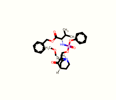 COC[C@@]1(COP(=O)(N[C@H](C(=O)OCc2ccccc2)C(C)C)Oc2ccccc2)C(=O)[C@@H]2CCN1[C@@H](C)C2